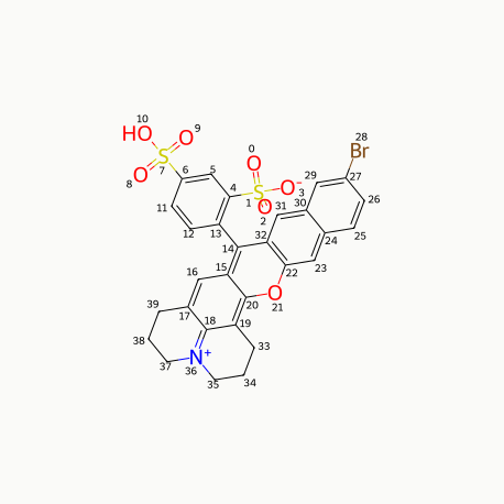 O=S(=O)([O-])c1cc(S(=O)(=O)O)ccc1C1=c2cc3c4c(c2Oc2cc5ccc(Br)cc5cc21)CCC[N+]=4CCC3